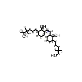 CC(C)(CO)CCCC1CCCC(/C=C\C2CCCC(CCCC(C)(C)C(=O)O)C2O)C1O